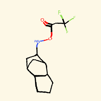 O=C(ONC1CC2CC1C1CCCC21)C(F)(F)F